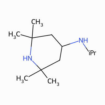 CC(C)NC1CC(C)(C)NC(C)(C)C1